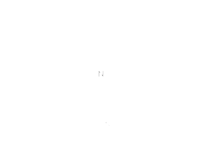 C=CCN1[CH]CCSCC1